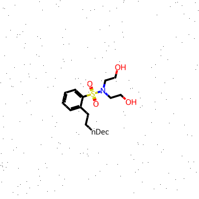 CCCCCCCCCCCCc1ccccc1S(=O)(=O)N(CCO)CCO